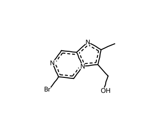 Cc1nc2cnc(Br)cn2c1CO